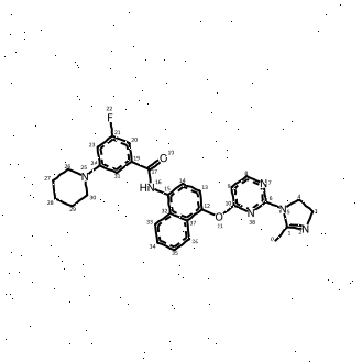 CC1=NCCN1c1nccc(Oc2ccc(NC(=O)c3cc(F)cc(N4CCCCC4)c3)c3ccccc23)n1